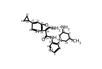 CC1CC(N)CN(c2ccncc2NC(=O)c2c(N)oc3cc(C4CC4)cnc23)C1